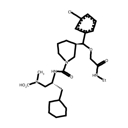 CCNC(=O)COC(c1cccc(Cl)c1)[C@@H]1CCCN(C(=O)N[C@H](CC2CCCCC2)CN(C)C(=O)O)C1